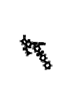 COc1cc(S(=O)(=O)N2CCC(N3CCOCC3)CC2)ccc1Nc1nc(NC2CC2)c2cc[nH]c2n1